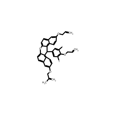 C=CCOc1ccc2c3c(ccc2c1)Oc1ccc2cc(OCC(=C)C)ccc2c1C3c1cc(I)c(OCC=C)c(I)c1